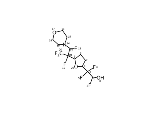 OC(F)C(F)(F)C1CCC(C(F)(C(F)N2CCOCC2)C(F)(F)F)O1